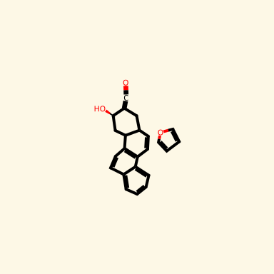 O=C=C1CC2C=Cc3c(ccc4ccccc34)C2C[C@H]1O.c1ccoc1